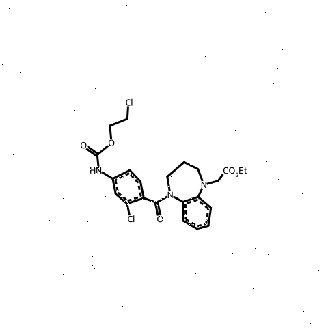 CCOC(=O)CN1CCCN(C(=O)c2ccc(NC(=O)OCCCl)cc2Cl)c2ccccc21